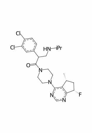 CC(C)NCC(C(=O)N1CCN(c2ncnc3c2[C@H](C)C[C@@H]3F)CC1)c1ccc(Cl)c(Cl)c1